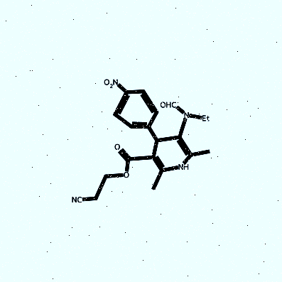 CCN(C=O)C1=C(C)NC(C)=C(C(=O)OCCC#N)C1c1ccc([N+](=O)[O-])cc1